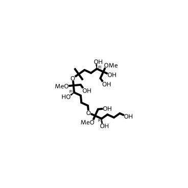 COC(O)(CO)[C@H](O)CCC(C)(C)OC(CO)(OC)[C@H](O)CCCOC(CO)(OC)[C@H](O)CCCO